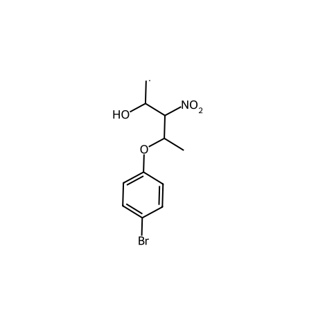 [CH2]C(O)C(C(C)Oc1ccc(Br)cc1)[N+](=O)[O-]